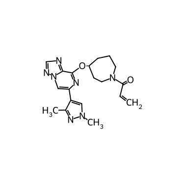 C=CC(=O)N1CCC[C@@H](Oc2nc(-c3cn(C)nc3C)cn3ncnc23)CC1